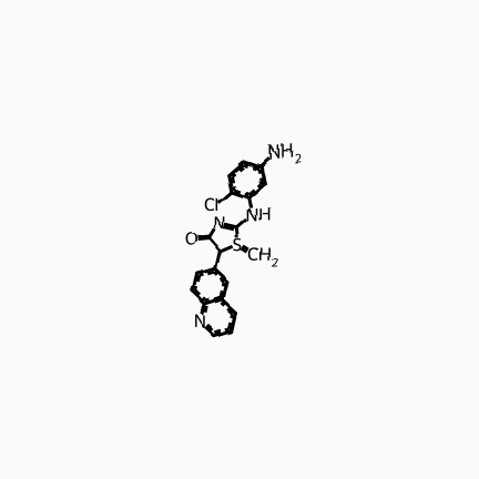 C=S1C(Nc2cc(N)ccc2Cl)=NC(=O)C1c1ccc2ncccc2c1